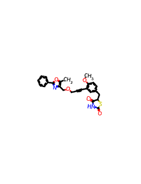 COc1ccc(CC2SC(=O)NC2=O)cc1C#CCOCc1nc(-c2ccccc2)oc1C